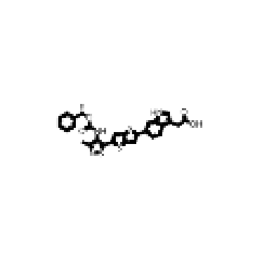 Cc1nsc(-c2cc3sc(-c4ccc5c(CC(=O)O)c[nH]c5c4)cc3s2)c1NC(=O)O[C@H](C)c1ccccc1